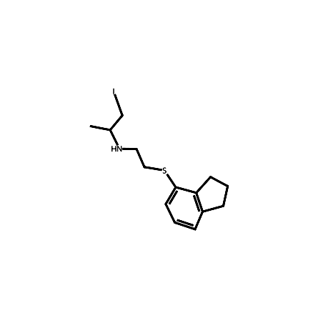 CC(CI)NCCSc1cccc2c1CCC2